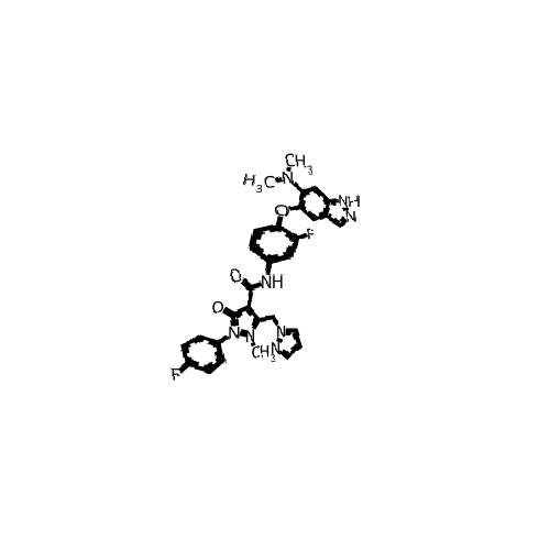 CN(C)c1cc2[nH]ncc2cc1Oc1ccc(NC(=O)c2c(Cn3cccn3)n(C)n(-c3ccc(F)cc3)c2=O)cc1F